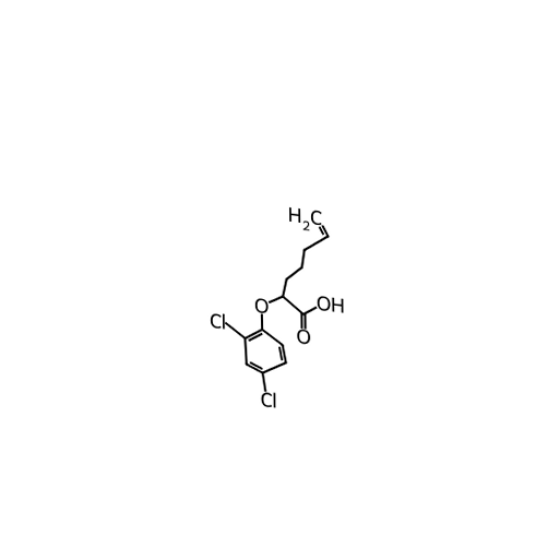 C=CCCCC(Oc1ccc(Cl)cc1Cl)C(=O)O